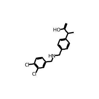 C=C(O)C(C)c1ccc(CNCc2ccc(Cl)c(Cl)c2)cc1